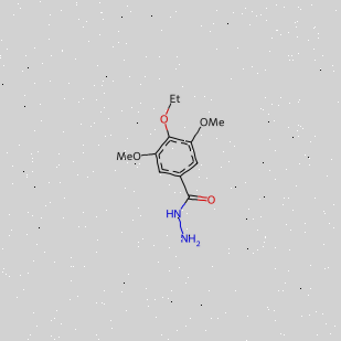 CCOc1c(OC)cc(C(=O)NN)cc1OC